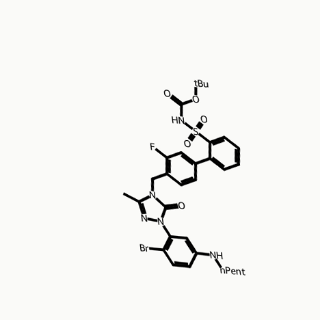 CCCCCNc1ccc(Br)c(-n2nc(C)n(Cc3ccc(-c4ccccc4S(=O)(=O)NC(=O)OC(C)(C)C)cc3F)c2=O)c1